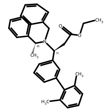 CCOC(=O)C[C@@H](c1cccc(-c2c(C)cccc2C)c1)N(Cc1ccccc1)[C@H](C)c1ccccc1